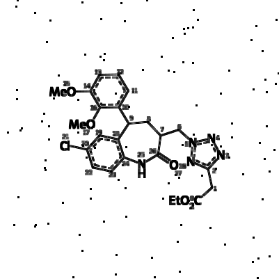 CCOC(=O)Cc1nnn(CC2CC(c3cccc(OC)c3OC)c3cc(Cl)ccc3NC2=O)n1